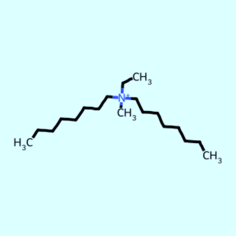 CCCCCCCC[N+](C)(CC)CCCCCCCC